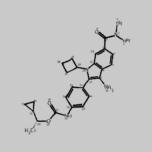 CCCN(CCC)C(=O)c1ccc2c(N)c(-c3ccc(NC(=O)O[C@H](C)C4CC4)cc3)n(C3CCC3)c2c1